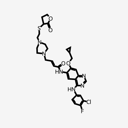 O=C(C=CCN1CCN(CCSC2CCOC2=O)CC1)Nc1cc2c(Nc3ccc(F)c(Cl)c3)ncnc2cc1OCC1CC1